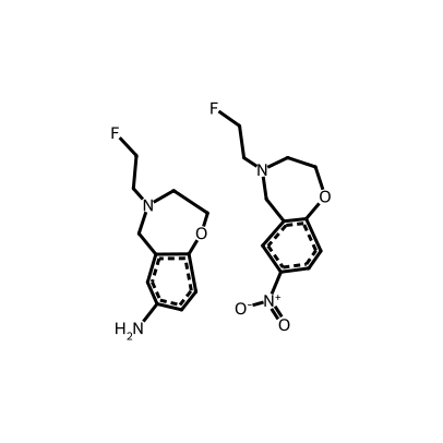 Nc1ccc2c(c1)CN(CCF)CCO2.O=[N+]([O-])c1ccc2c(c1)CN(CCF)CCO2